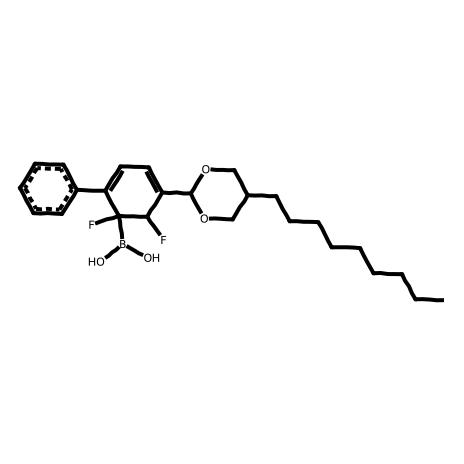 CCCCCCCCCC1COC(C2=CC=C(c3ccccc3)C(F)(B(O)O)C2F)OC1